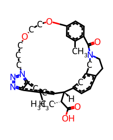 Cc1cc2ccc1C(=O)N1CCc3ccc(cc3C1)[C@H]([C@@H](C)C(=O)O)c1ccc3c(nnn3CCCOCCO2)c1C